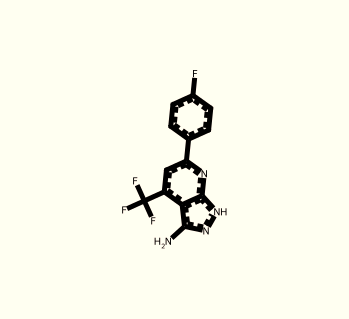 Nc1n[nH]c2nc(-c3ccc(F)cc3)cc(C(F)(F)F)c12